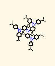 CC(C)c1ccc(N2c3ccc(C(C)C)cc3B3c4ccc5c6c4N4c7c(ccc2c73)B2c3cc(C(C)C)ccc3N(c3ccc(C(C)C)cc3)c3ccc(c4c32)B6c2cc(C(C)C)ccc2N5c2ccc(C(C)C)cc2)cc1